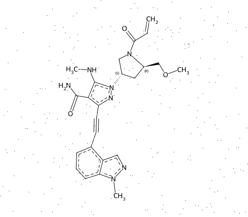 C=CC(=O)N1C[C@@H](n2nc(C#Cc3cccc4c3cnn4C)c(C(N)=O)c2NC)C[C@@H]1COC